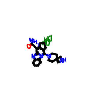 Cl.Cl.NC(=O)c1c2c(c(N3CCC4(CC3)CNC4)n3c1nc1ccccc13)CCC2